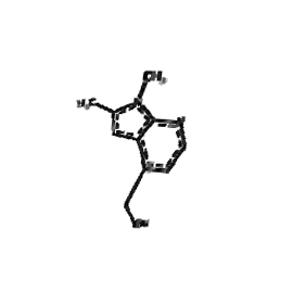 Cc1cc2c(CC(C)(C)C)ccnc2n1C